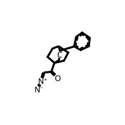 [N-]=[N+]=CC(=O)C12CCC(CC1)C(c1ccccc1)CC2